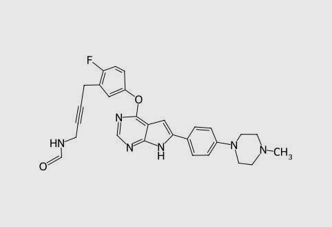 CN1CCN(c2ccc(-c3cc4c(Oc5ccc(F)c(CC#CCNC=O)c5)ncnc4[nH]3)cc2)CC1